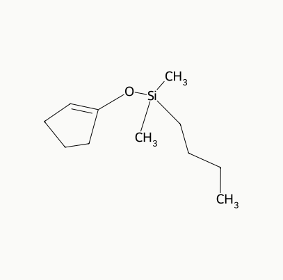 CCCC[Si](C)(C)OC1=CCCC1